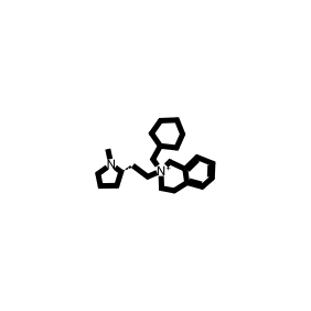 CN1CCC[C@H]1CC[N+]1(CC2CCCCC2)CCc2ccccc2C1